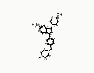 CN1CCN(Cc2ccc(-c3nn([C@H]4CC[C@H](O)CC4)c4nc(N)ncc34)cc2)CC1